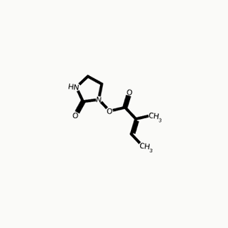 CC=C(C)C(=O)ON1CCNC1=O